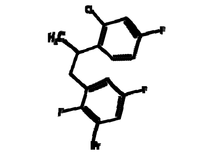 CC(C)c1cc(F)cc(CC(C)c2ccc(F)cc2Cl)c1F